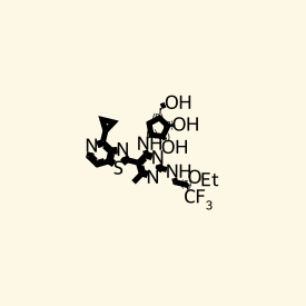 CCO[C@@H](CNc1nc(C)c(-c2nc3c(C4CC4)nccc3s2)c(N[C@@H]2C[C@H](CO)[C@@H](O)[C@H]2O)n1)C(F)(F)F